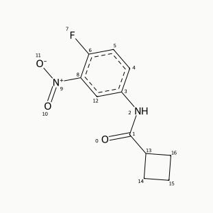 O=C(Nc1ccc(F)c([N+](=O)[O-])c1)C1CCC1